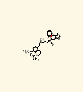 COc1ccc(CCN(C)CCCC(C#N)(Sc2ccccc2)c2ccc3ncsc3c2)c2c1N(C(C)=O)CCC2